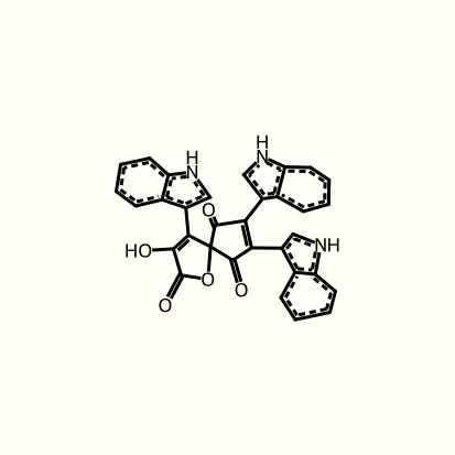 O=C1OC2(C(=O)C(c3c[nH]c4ccccc34)=C(c3c[nH]c4ccccc34)C2=O)C(c2c[nH]c3ccccc23)=C1O